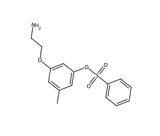 Cc1cc(OCCN)cc(OS(=O)(=O)c2ccccc2)c1